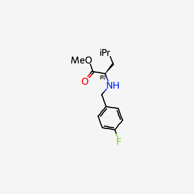 COC(=O)[C@@H](CC(C)C)NCc1ccc(F)cc1